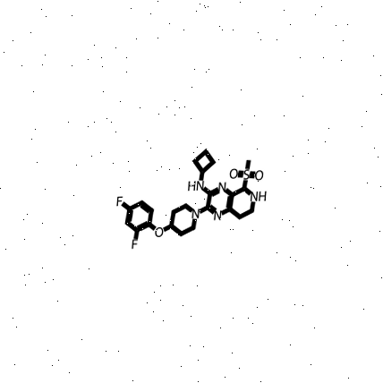 CS(=O)(=O)C1NCCc2nc(N3CCC(Oc4ccc(F)cc4F)CC3)c(NC3CCC3)nc21